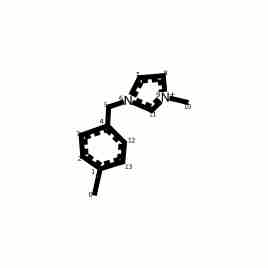 Cc1ccc(Cn2cc[n+](C)c2)cc1